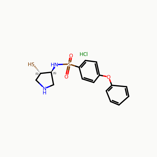 Cl.O=S(=O)(N[C@H]1CNC[C@@H]1S)c1ccc(Oc2ccccc2)cc1